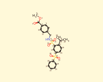 COC(=O)c1ccc(CNS(=O)(=O)c2cc(S(=O)(=O)c3ccccc3)ccc2C(C)C)cc1